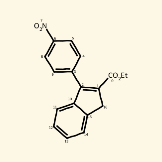 CCOC(=O)C1=C(c2ccc([N+](=O)[O-])cc2)c2ccccc2C1